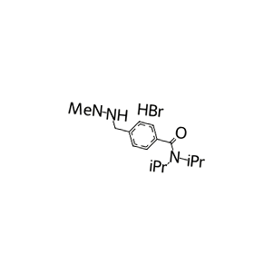 Br.CNNCc1ccc(C(=O)N(C(C)C)C(C)C)cc1